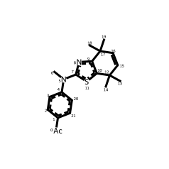 CC(=O)c1ccc(N(C)c2nc3c(s2)C(C)(C)C=CC3(C)C)cc1